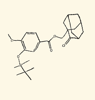 COc1ccc(C(=O)OCC23CC4CC(CC(C4)C2=O)C3)cc1O[Si](C)(C)C(C)(C)C